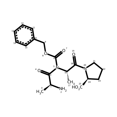 C[C@H](N)C(=O)N(C(=O)OCc1ccccc1)[C@@H](C)C(=O)N1CCC[C@H]1C(=O)O